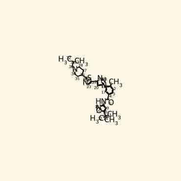 Cc1ccc(C(=O)Nc2cc(C(C)(C)C)on2)cc1-n1cc(-c2cnc(C3CCN(CC(C)C)CC3)s2)nn1